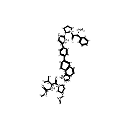 COC[C@H]1C[C@@H](c2nc3ccc4cc(-c5ccc(-c6cnc([C@@H]7CCCN7C(=O)[C@H](N)c7ccccc7)[nH]6)cc5)ccc4c3[nH]2)N(C(=O)[C@@H](NC(=O)OC)C(C)C)C1